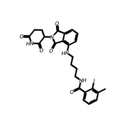 Cc1cccc(C(=O)NCCCCNc2cccc3c2C(=O)N(C2CCC(=O)NC2=O)C3=O)c1I